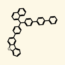 c1ccc(-c2ccc(-c3ccc(C(c4ccc(-c5ccc6oc7ccccc7c6c5)cc4)c4cccc5ccccc45)cc3)cc2)cc1